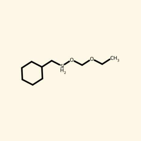 CCOCO[SiH2]CC1CCCCC1